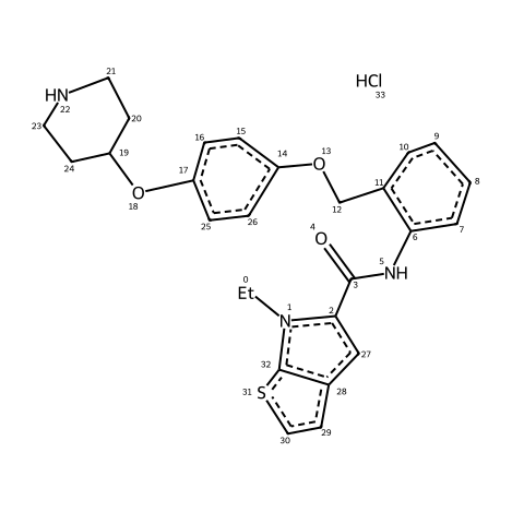 CCn1c(C(=O)Nc2ccccc2COc2ccc(OC3CCNCC3)cc2)cc2ccsc21.Cl